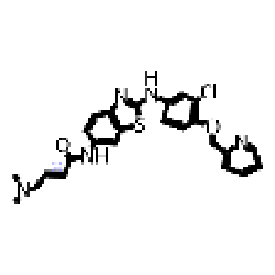 CN(C)C/C=C/C(=O)Nc1ccc2nc(Nc3ccc(OCc4ccccn4)c(Cl)c3)sc2c1